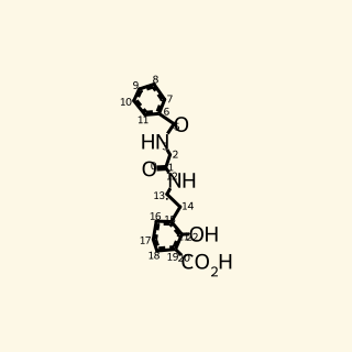 O=C(CNC(=O)c1ccccc1)N[CH]Cc1cccc(C(=O)O)c1O